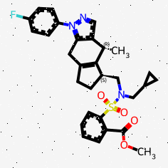 COC(=O)c1ccccc1S(=O)(=O)N(CC1CC1)C[C@H]1CCC2=C1[C@@H](C)c1cnn(-c3ccc(F)cc3)c1C2